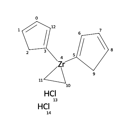 C1=CC[C]([Zr]2([C]3=CC=CC3)[CH2][CH2]2)=C1.Cl.Cl